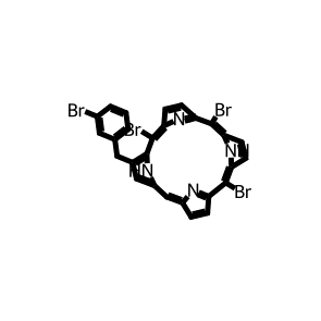 Brc1cccc(Cc2cc3cc4nc(c(Br)c5ccc([nH]5)c(Br)c5nc(c(Br)c2[nH]3)C=C5)C=C4)c1